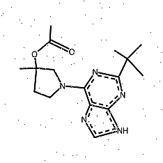 CC(=O)OC1(C)CCN(c2nc(C(C)(C)C)nc3[nH]cnc23)C1